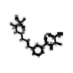 C[C@@H](NC(=O)c1cccc(C=CCCCN(C)S(C)(=O)=O)c1)C(=O)O